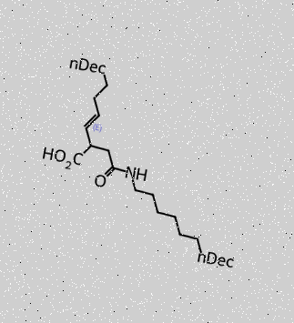 CCCCCCCCCCCC/C=C/C(CC(=O)NCCCCCCCCCCCCCCCC)C(=O)O